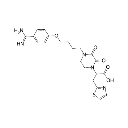 N=C(N)c1ccc(OCCCCN2CCN(C(Cc3nccs3)C(=O)O)C(=O)C2=O)cc1